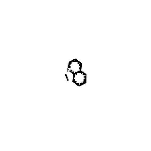 CC.c1ccc2ncccc2c1